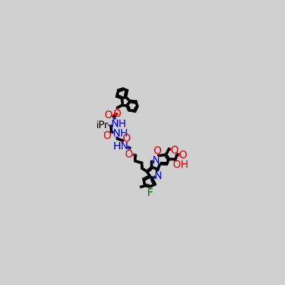 Cc1cc2c(CCCCOCNC(=O)CNC(=O)[C@@H](NC(=O)OCC3c4ccccc4-c4ccccc43)C(C)C)c3c(nc2cc1F)-c1cc2c(c(=O)n1C3)COC(=O)[C@H]2O